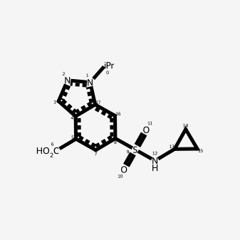 CC(C)n1ncc2c(C(=O)O)cc(S(=O)(=O)NC3CC3)cc21